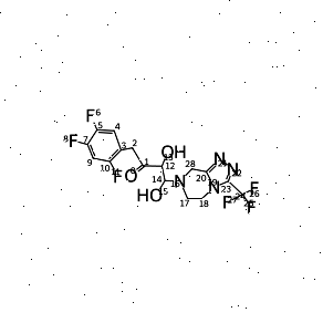 O=C(Cc1cc(F)c(F)cc1F)C(O)C(O)N1CCn2c(nnc2C(F)(F)F)C1